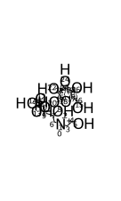 C[N+](C)(CCO)CC(O)COP(=O)(O)O.OC[C@H]1O[C@H](O)[C@H](O)[C@@H](O)[C@@H]1O